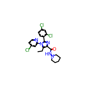 CCc1c(C(=O)NN2CCCCC2)nc(-c2ccc(Cl)cc2Cl)n1-c1cc(Cl)ccn1